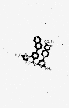 CCOC(=O)C1CC2(CCN(c3cc(O[C@H](c4ccc(-c5ccc6ccccc6c5)cc4-n4ccc(C)n4)C(F)(F)F)nc(N)n3)CC2)CN1